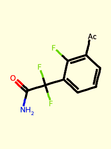 CC(=O)c1cccc(C(F)(F)C(N)=O)c1F